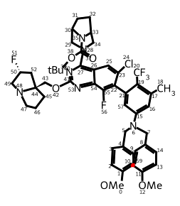 COc1ccc(CN(Cc2ccc(OC)cc2)c2cc(C)c(C(F)(F)F)c(-c3c(Cl)cc4c(N5CC6CCC(C5)N6C(=O)OC(C)(C)C)nc(OC[C@@]56CCCN5C[C@H](F)C6)nc4c3F)c2)cc1